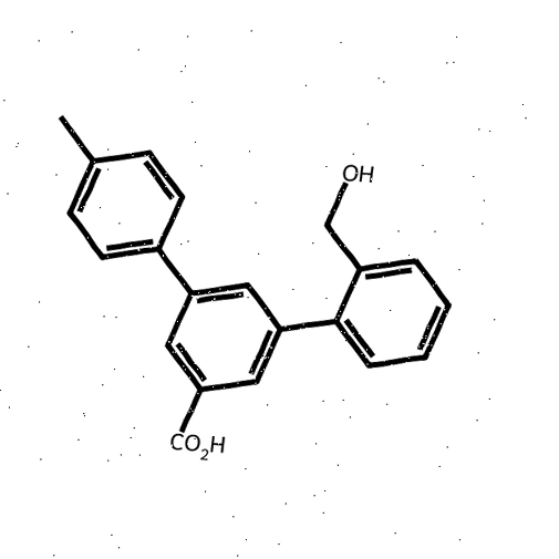 Cc1ccc(-c2cc(C(=O)O)cc(-c3ccccc3CO)c2)cc1